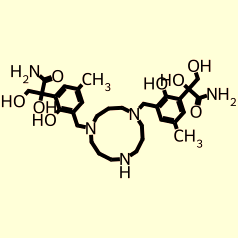 Cc1cc(CN2CCCNCCCN(Cc3cc(C)cc(C(O)(CO)C(N)=O)c3O)CCC2)c(O)c(C(O)(CO)C(N)=O)c1